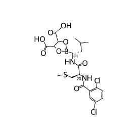 CSC[C@H](NC(=O)c1cc(Cl)ccc1Cl)C(=O)N[C@@H](CC(C)C)B1OC(C(=O)O)C(C(=O)O)O1